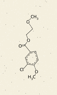 COCCOC(=O)c1ccc(OC)c(Cl)c1